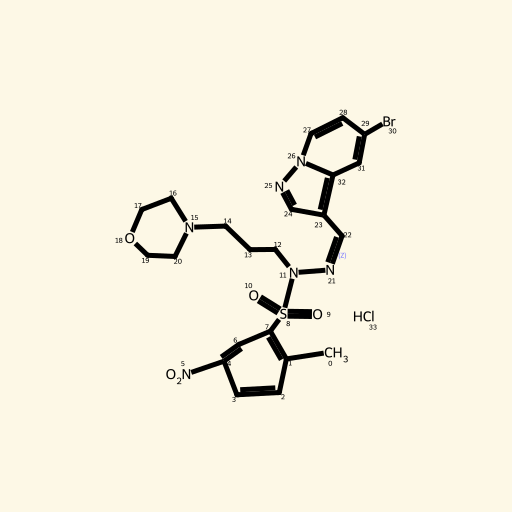 Cc1ccc([N+](=O)[O-])cc1S(=O)(=O)N(CCCN1CCOCC1)/N=C\c1cnn2ccc(Br)cc12.Cl